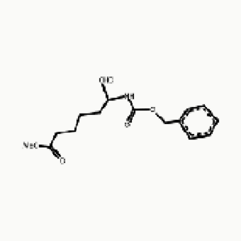 COC(=O)CCCCC(C=O)NC(=O)OCc1ccccc1